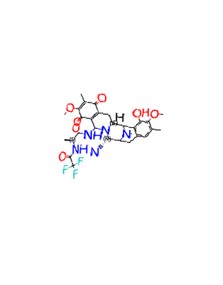 COC1=C(C)C(=O)C2=C(C1=O)C(NC(=O)[C@H](C)NC(=O)C(F)(F)F)N1[C@@H](C#N)C3Cc4cc(C)c(OC)c(O)c4C([C@@H]1C2)N3C